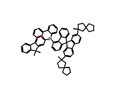 CC1(c2ccc3c(c2)C2(c4cc(C5(C)CCC6(CCCC6)C5)ccc4-3)c3ccccc3-c3c(N(c4ccc5c(c4)C(C)(C)c4ccccc4-5)c4ccccc4-c4ccccc4)cccc32)CCC2(CCCC2)C1